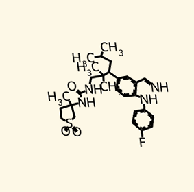 CC(C)CC(c1ccc(Nc2ccc(F)cc2)c(C=N)c1)C(C)(C)CNC(=O)NC1(C)CCS(=O)(=O)C1